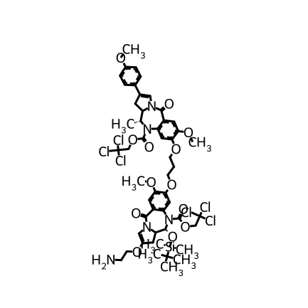 COc1ccc(C2=CN3C(=O)c4cc(OC)c(OCCCOc5cc6c(cc5OC)C(=O)N5C=C(OCCN)CC5[C@@H](O[Si](C)(C)C(C)(C)C)N6C(=O)OCC(Cl)(Cl)Cl)cc4N(C(=O)OCC(Cl)(Cl)Cl)[C@H](C)C3C2)cc1